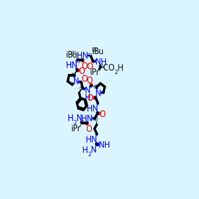 CC[C@H](C)[C@H](NC(=O)[C@@H](NC(=O)[C@@H]1CCCN1C(=O)[C@H](Cc1ccccc1)NC(=O)[C@@H]1CCCN1C(=O)CNC(=O)[C@H](CCCNC(=N)N)NC(=O)[C@@H](N)C(C)C)[C@@H](C)CC)C(=O)N[C@H](C(=O)O)C(C)C